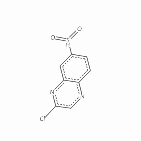 O=[SH](=O)c1ccc2ncc(Cl)nc2c1